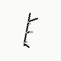 CCCCCCCCC(CCCCCCC)OC(=O)CCCCCCCN(CCO)CCCCCCCC(=O)OC1CC1CCCC